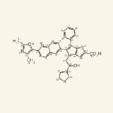 Cc1nc(C)c(-c2ccc3cc(-c4c(-c5ccccc5)c5sc(C(=O)O)cc5n4CC(=O)N4CCCC4)ccc3n2)o1